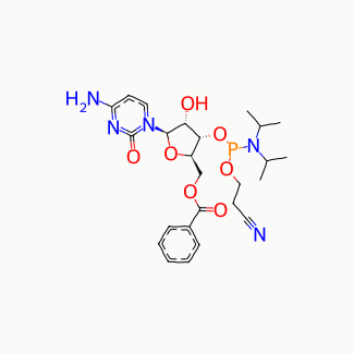 CC(C)N(C(C)C)P(OCCC#N)O[C@H]1[C@@H](O)[C@H](n2ccc(N)nc2=O)O[C@@H]1COC(=O)c1ccccc1